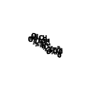 Cc1c([C@H](O)CN2CCC(C[S+]([O-])c3ccc4c(c3)CCOC4=O)CC2)ccc2c1COC2=O